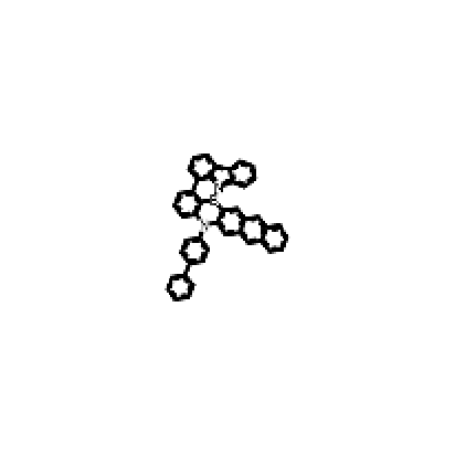 c1ccc(-c2ccc(N3c4cc5cc6ccccc6cc5cc4B4c5c(cccc53)-c3cccc5c6ccccc6n4c35)cc2)cc1